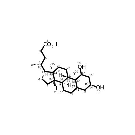 C[C@H](CCC(=O)O)[C@H]1CC[C@H]2[C@@H]3CCC4C[C@H](O)CC(O)[C@]4(C)[C@H]3CC[C@]12C